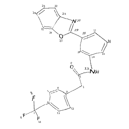 O=C(Cc1ccc(C(F)(F)F)cc1)Nc1cccc(-c2nc3ccccc3o2)c1